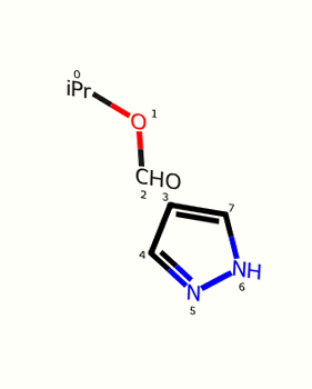 CC(C)OC=O.c1cn[nH]c1